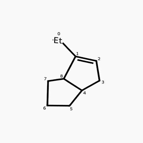 C[CH]C1=CCC2CCCC12